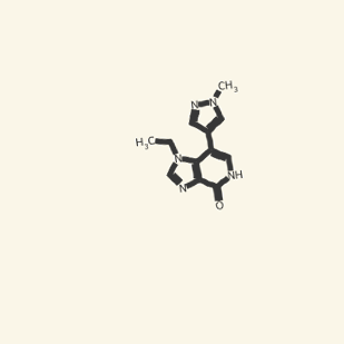 CCn1cnc2c(=O)[nH]cc(-c3cnn(C)c3)c21